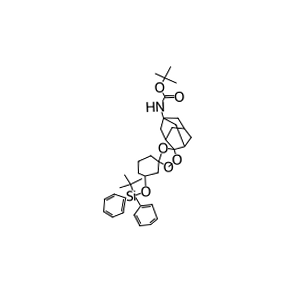 CC(C)(C)OC(=O)NC12CC3CC(C1)C1(OOC4(CCCC(O[Si](c5ccccc5)(c5ccccc5)C(C)(C)C)C4)O1)C(C3)C2